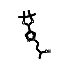 CC(O)CCn1cc(B2OC(C)(C)C(C)(C)O2)cn1